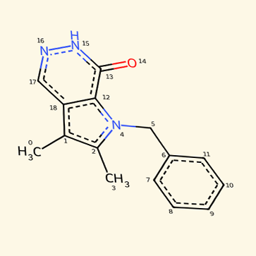 Cc1c(C)n(Cc2ccccc2)c2c(=O)[nH]ncc12